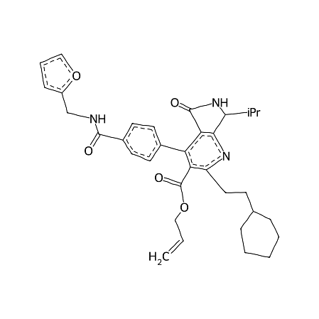 C=CCOC(=O)c1c(CCC2CCCCC2)nc2c(c1-c1ccc(C(=O)NCc3ccco3)cc1)C(=O)NC2C(C)C